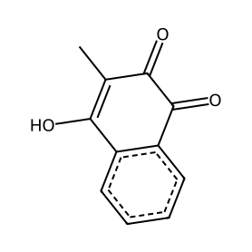 CC1=C(O)c2ccccc2C(=O)C1=O